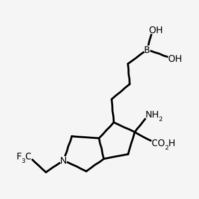 NC1(C(=O)O)CC2CN(CC(F)(F)F)CC2C1CCCB(O)O